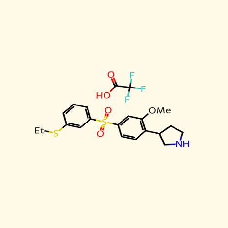 CCSc1cccc(S(=O)(=O)c2ccc(C3CCNC3)c(OC)c2)c1.O=C(O)C(F)(F)F